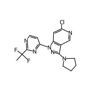 CC(F)(F)c1nccc(-n2nc(N3CCCC3)c3cnc(Cl)cc32)n1